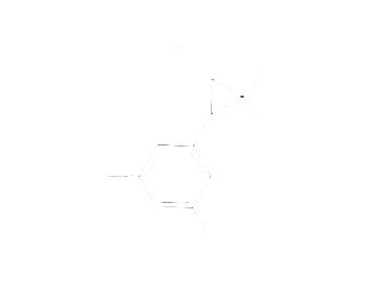 O=C(O)[C@H]1C(c2cc(Cl)cc(C(F)(F)F)c2)C1(Cl)Cl